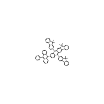 CC1(C)c2ccccc2-c2ccc(-c3c4ccc(-c5c6ccccc6c(-c6ccccc6)c6ccccc56)cc4c(-c4ccc5c(c4)C(C)(C)c4ccccc4-5)c4cc5c(cc34)-c3ccccc3[Si]5(C)C)cc21